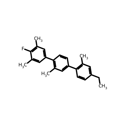 CCc1ccc(-c2ccc(-c3cc(C)c(F)c(C)c3)c(C)c2)c(C)c1